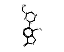 Cc1c([C@@H]2CNC[C@H](CO)N2)ccc2c1COC2=O